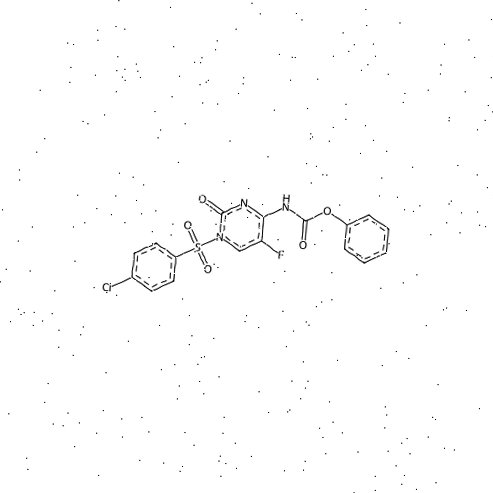 O=C(Nc1nc(=O)n(S(=O)(=O)c2ccc(Cl)cc2)cc1F)Oc1ccccc1